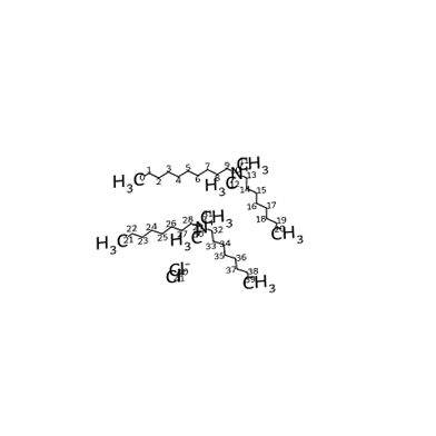 CCCCCCCCCC[N+](C)(C)CCCCCCCC.CCCCCCCC[N+](C)(C)CCCCCCCC.[Cl-].[Cl-]